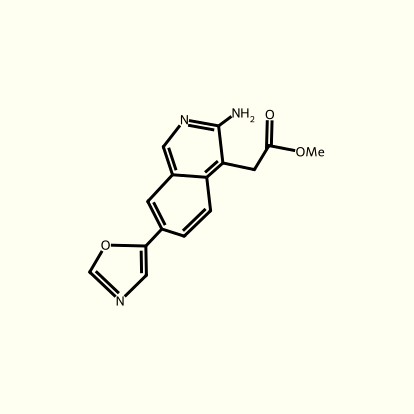 COC(=O)Cc1c(N)ncc2cc(-c3cnco3)ccc12